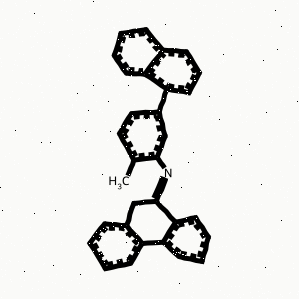 Cc1ccc(-c2cccc3ccccc23)cc1/N=C1\Cc2ccccc2-c2ccccc21